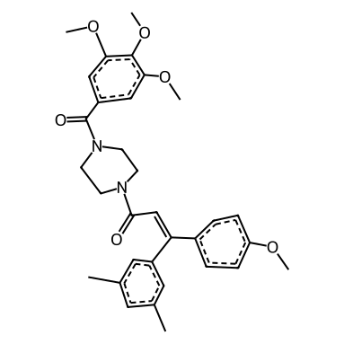 COc1ccc(C(=CC(=O)N2CCN(C(=O)c3cc(OC)c(OC)c(OC)c3)CC2)c2cc(C)cc(C)c2)cc1